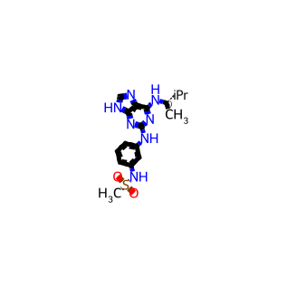 CC(C)[C@H](C)Nc1nc(Nc2cccc(NS(C)(=O)=O)c2)nc2[nH]cnc12